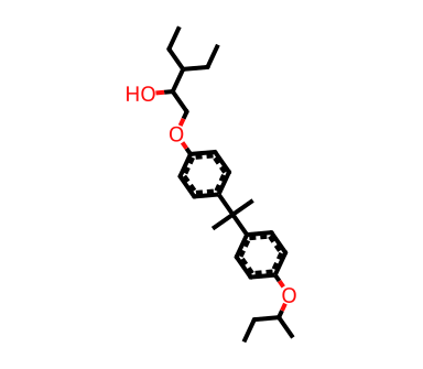 CCC(C)Oc1ccc(C(C)(C)c2ccc(OCC(O)C(CC)CC)cc2)cc1